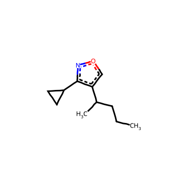 CCCC(C)c1conc1C1CC1